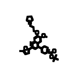 COc1cc2c(C3=CCN(C(=O)OC(C)(C)C)CC3)cc(-c3ccc(C)o3)nc2cc1OCCCN1CCCC1